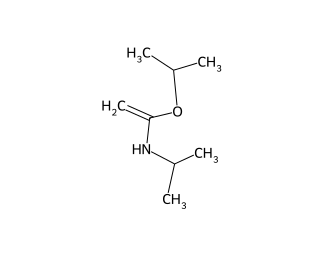 C=C(NC(C)C)OC(C)C